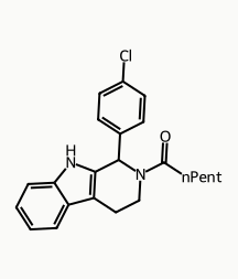 CCCCCC(=O)N1CCc2c([nH]c3ccccc23)C1c1ccc(Cl)cc1